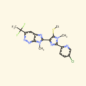 CCSc1c(-c2nc3cc(C(F)(F)C(F)(F)F)nnc3n2C)nc(-c2ccc(Cl)cn2)n1C